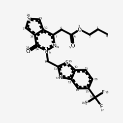 CCCOC(=O)Cc1nn(Cc2nc3cc(C(F)(F)F)ccc3s2)c(=O)c2cscc12